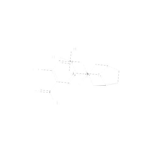 Cc1cnc(N2CC3CCC(C2)N3C(=O)OC(C)(C)C)cc1C(=O)O